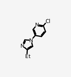 CCc1cn(-c2ccc(Cl)nc2)cn1